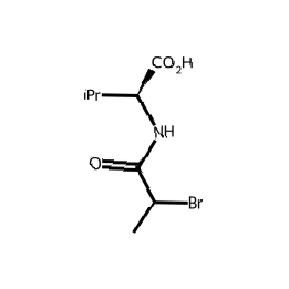 CC(Br)C(=O)N[C@H](C(=O)O)C(C)C